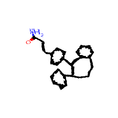 NC(=O)C=Cc1ccc(C2=C(c3ccccc3)CCCc3ccccc32)cc1